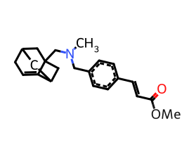 COC(=O)/C=C/c1ccc(CN(C)CC23CC4CC=C2C(C4)C3)cc1